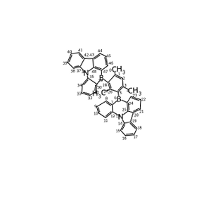 Cc1cc(C)c(B2c3ccccc3-n3c4ccccc4c4cccc2c43)c(C)c1B1c2ccccc2-n2c3ccccc3c3cccc1c32